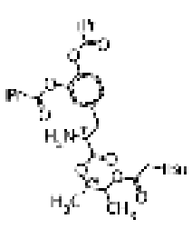 CC(C)C(=O)Oc1ccc(C[C@H](N)C(=O)O[C@@H](C)C(C)OC(=O)CC(C)(C)C)cc1OC(=O)C(C)C